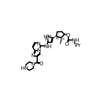 CC(C)NC(=O)O[C@@H]1CC[C@H](c2cc(Nc3nccc4nc(C(=O)N5CCNCC5)cn34)n[nH]2)[C@@H]1F